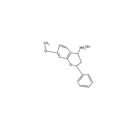 COc1ccc2c(c1)OC(c1ccccc1)CC2N.Cl